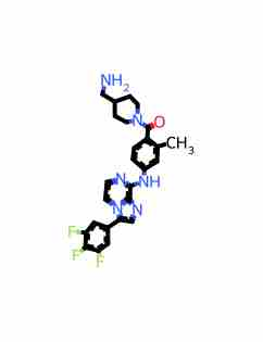 Cc1cc(Nc2nccn3c(-c4cc(F)c(F)c(F)c4)cnc23)ccc1C(=O)N1CCC(CN)CC1